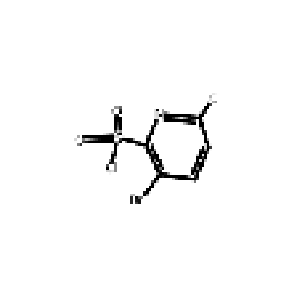 O=S(=O)(Cl)c1nc(Cl)ccc1Br